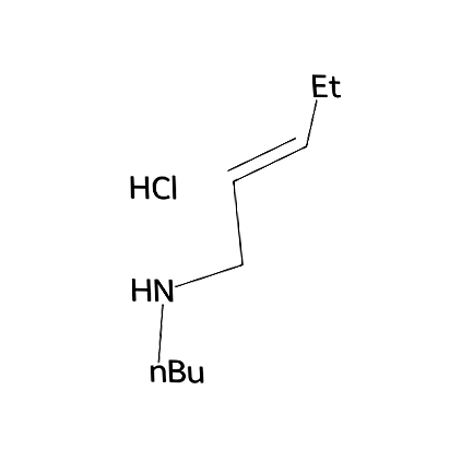 CCC=CCNCCCC.Cl